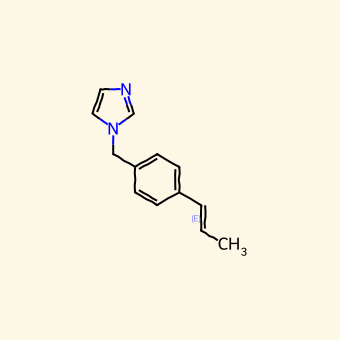 C/C=C/c1ccc(Cn2ccnc2)cc1